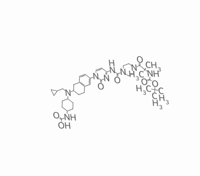 CC(C)(C)OC(=O)NC(C)(C)C(=O)N1CCN(C(=O)Nc2ccn(-c3ccc4c(c3)CCC(N(CC3CC3)C3CCC(NC(=O)O)CC3)C4)c(=O)n2)CC1